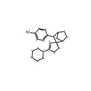 N#Cc1ccc(C2C3CCC(C3)C23CCC(N2CCCCC2)=N3)cc1